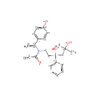 COC(=O)N(CCC(O)(CC(C)(C)O)c1ccccc1)[C@@H](C)c1ccc(Br)cc1